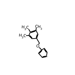 Cc1cc(COc2cc[c]cc2)cc(C)c1C